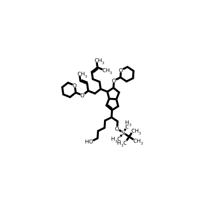 CC=CC(CC(CCC=C(C)C)C1C(OC2CCCCO2)CC2CC(C(CCCCO)CO[Si](C)(C)C(C)(C)C)=CC21)OC1CCCCO1